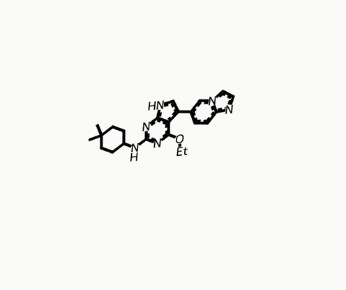 CCOc1nc(NC2CCC(C)(C)CC2)nc2[nH]cc(-c3ccc4nccn4c3)c12